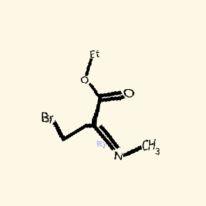 CCOC(=O)/C(CBr)=N\C